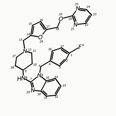 Fc1ccc(Cn2c(NC3CCN(Cc4ccc(COc5ncccn5)o4)CC3)nc3ccccc32)cc1